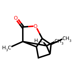 CC1C2OC(=O)C3(C)C2CC1C3(C)C